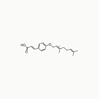 CC(C)=CCC/C(C)=C/COc1ccc(C=CC(=O)O)cc1